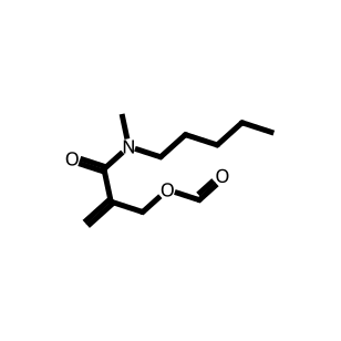 C=C(COC=O)C(=O)N(C)CCCCC